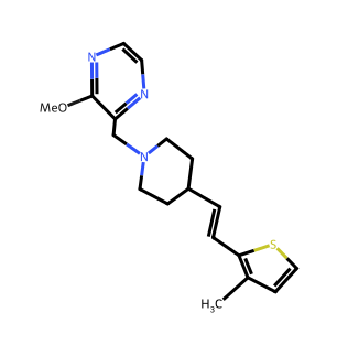 COc1nccnc1CN1CCC(/C=C/c2sccc2C)CC1